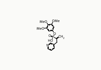 C=C(Cc1cccnc1)P(=O)(O)Oc1cc(OC)c(OC)c(OC)c1